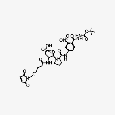 CC(C)(C)OC(=O)NNC(=O)c1ccc(NC(=O)C2CCCN2C(=O)C(CS(=O)(=O)O)NC(=O)CCCCCN2C(=O)C=CC2=O)cc1[N+](=O)[O-]